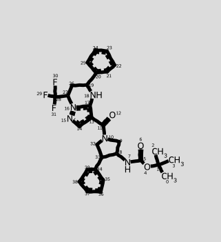 CC(C)(C)OC(=O)NC1CN(C(=O)c2cnn3c2NC(c2ccccc2)CC3C(F)(F)F)CC1c1ccccc1